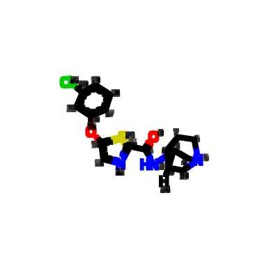 O=C(N[C@H]1CN2CCC1CC2)c1ncc(Oc2cccc(Cl)c2)s1